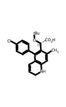 Cc1cc2c(c(-c3ccc(Cl)cc3)c1[C@H](OC(C)(C)C)C(=O)O)C=CCN2